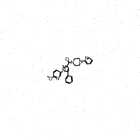 COc1ccc(-n2nc(C(=O)N3CCN(c4ccccn4)CC3)cc2-c2ccccc2)cn1